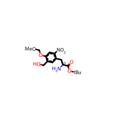 COCOc1cc([N+](=O)[O-])c(C[C@H](N)C(=O)OC(C)(C)C)cc1CO